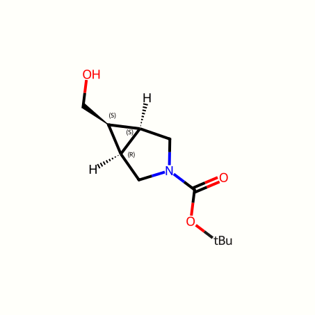 CC(C)(C)OC(=O)N1C[C@@H]2[C@H](CO)[C@@H]2C1